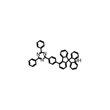 Oc1ccccc1C1(c2ccccc2)c2ccccc2-c2c(-c3ccc(-c4nc(-c5ccccc5)nc(-c5ccccc5)n4)cc3)cccc21